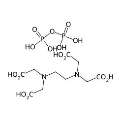 O=C(O)CN(CCN(CC(=O)O)CC(=O)O)CC(=O)O.O=P(O)(O)OP(=O)(O)O